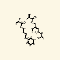 C=C(C)C(=O)OCC(=CCCC(C)C)CN.C=C(C)C(=O)OCCN=Cc1ccccc1